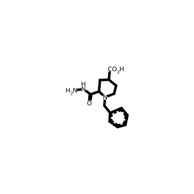 NNC(=O)C1CC(C(=O)O)CCN1Cc1ccccc1